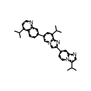 CC(C)c1ccnc2cc(-c3cc(C(C)C)c4nc(-c5ccn6c(C(C)C)cnc6c5)cn4c3)ccc12